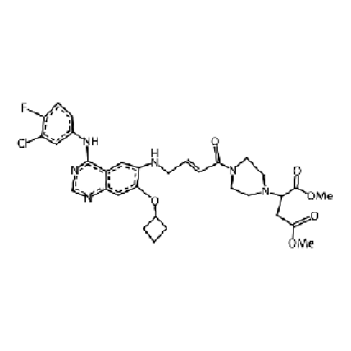 COC(=O)CC(C(=O)OC)N1CCN(C(=O)C=CCNc2cc3c(Nc4ccc(F)c(Cl)c4)ncnc3cc2OC2CCC2)CC1